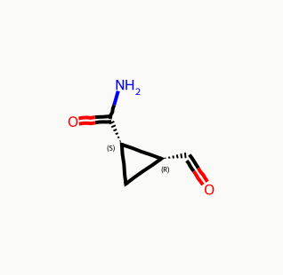 NC(=O)[C@H]1C[C@H]1C=O